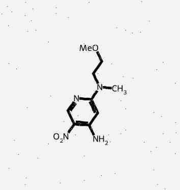 COCCN(C)c1cc(N)c([N+](=O)[O-])cn1